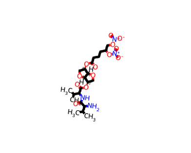 CC(C)C(N)C(=O)NC(C(=O)O[C@@H]1CO[C@H]2[C@@H]1OC[C@H]2OC(=O)CCCC(CO[N+](=O)[O-])O[N+](=O)[O-])C(C)C